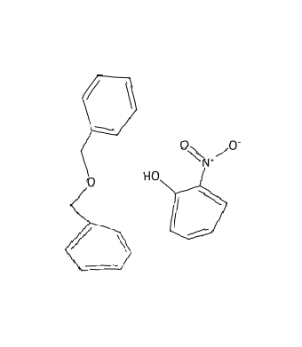 O=[N+]([O-])c1ccccc1O.c1ccc(COCc2ccccc2)cc1